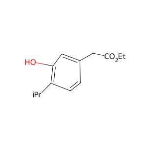 CCOC(=O)Cc1ccc(C(C)C)c(O)c1